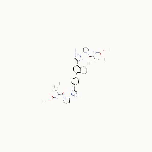 COC(=O)NC(C(=O)N1CCC[C@H]1c1nc(-c2ccc(-c3ccc(-c4c[nH]c([C@@H]5CCCN5C(=O)[C@@H](NC(=O)OC)C(C)C)n4)c4c3CCCC4)cc2)c[nH]1)C(C)C